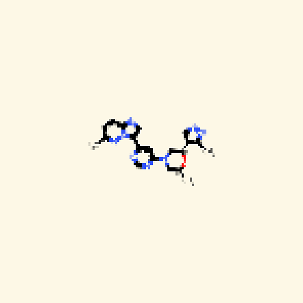 Cc1[nH]ncc1[C@@H]1CN(c2cc(-c3cnc4ccc(C(F)(F)F)nn34)ncn2)C[C@H](C)O1